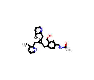 CC(=O)NCc1ccc(CC2C(Cc3ncccc3C)C2Cc2ncccc2C)c(CO)c1